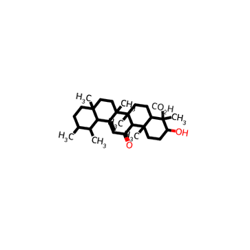 CC1CCC2(C)CCC3(C)C(=CC(=O)C4C5(C)CCC(O)C(C)(C(=O)O)C5CCC43C)C2C1C